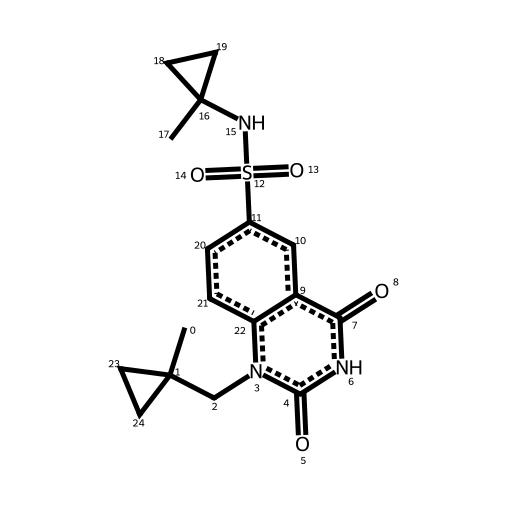 CC1(Cn2c(=O)[nH]c(=O)c3cc(S(=O)(=O)NC4(C)CC4)ccc32)CC1